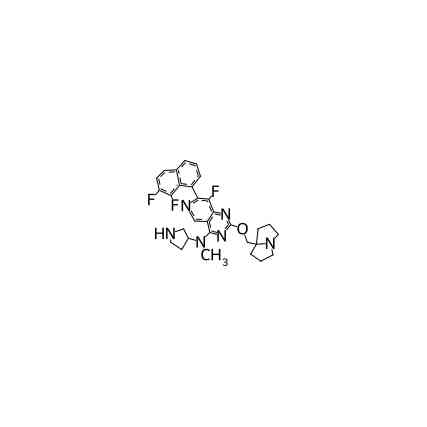 CN(c1nc(OCC23CCCN2CCC3)nc2c(F)c(-c3cccc4ccc(F)c(F)c34)ncc12)C1CCNC1